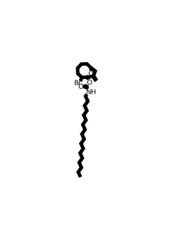 C=C1CC2CCCCC(Br)C1(OC(=O)NCCCCCCCCCCCCCCCCCC)O2